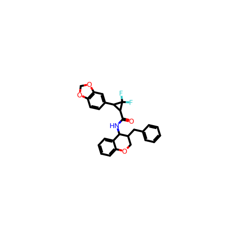 O=C(NC1c2ccccc2OCC1Cc1ccccc1)C1C(c2ccc3c(c2)OCO3)C1(F)F